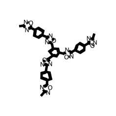 Cc1noc(-c2ccc(-c3noc(-c4cc(-c5nc(-c6ccc(-c7nc(C)no7)cc6)no5)cc(-c5nc(-c6ccc(-c7nc(C)no7)cc6)no5)c4)n3)cc2)n1